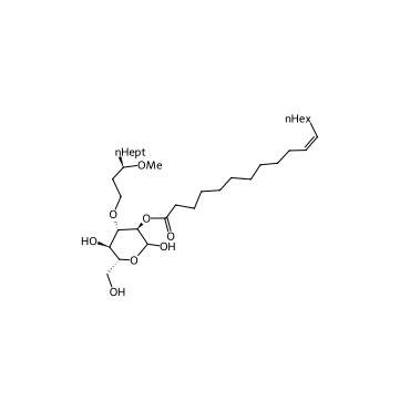 CCCCCC/C=C\CCCCCCCCCC(=O)O[C@H]1C(O)O[C@H](CO)[C@@H](O)[C@@H]1OCC[C@@H](CCCCCCC)OC